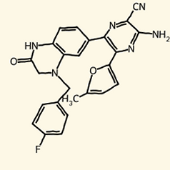 Cc1ccc(-c2nc(N)c(C#N)nc2-c2ccc3c(c2)N(Cc2ccc(F)cc2)CC(=O)N3)o1